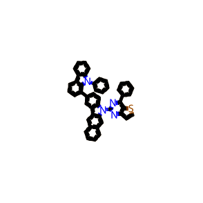 c1ccc(-c2nc(-n3c4ccc(-c5cccc6c7ccccc7n(-c7ccccc7)c56)cc4c4cc5ccccc5cc43)nc3ccsc23)cc1